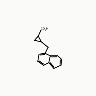 O=C(O)C1CC1Cc1cccc2ccccc12